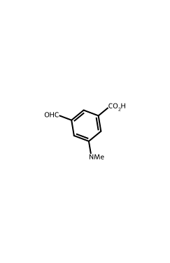 CNc1cc(C=O)cc(C(=O)O)c1